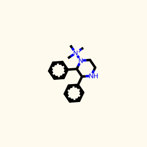 C[N+](C)(C)N1CCNC(c2ccccc2)C1c1ccccc1